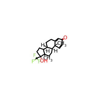 C[C@]12C=CC(=O)C=C1CC[C@@H]1[C@@H]2CC[C@@]2(C)[C@H]1CC[C@@]2(O)C(F)(F)F